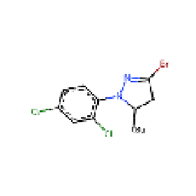 CC(C)(C)C1CC(Br)=NN1c1ccc(Cl)cc1Cl